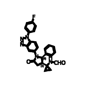 O=CNC1([C@H]2CC(=O)N(c3ccc4c(c3)nnn4-c3ccc(F)cc3)[C@H]2c2ccccc2)CC1